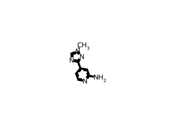 Cn1cnc(-c2ccnc(N)c2)n1